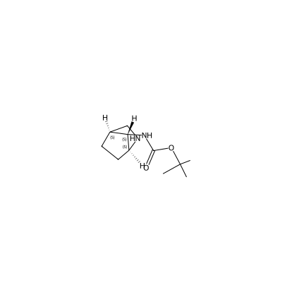 CC(C)(C)OC(=O)N[C@H]1[C@H]2CC[C@@H]1NC2